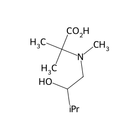 CC(C)C(O)CN(C)C(C)(C)C(=O)O